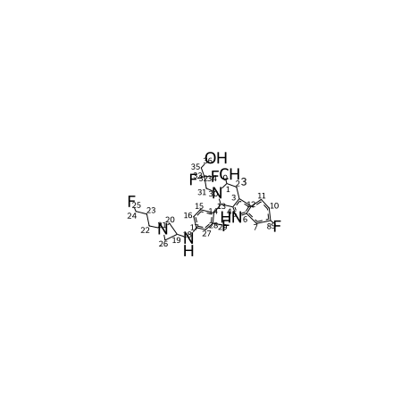 CC1Cc2c([nH]c3cc(F)ccc23)C(c2ccc(NC3CN(CCCF)C3)cc2F)N1CC(F)(F)CO